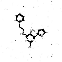 Nc1nc(NCCc2ccccc2)c([N+](=O)[O-])c(-c2ccco2)n1